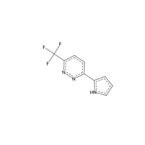 FC(F)(F)c1ccc(-c2ccc[nH]2)nn1